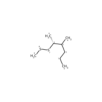 CCCC(C)[C@@H](C)SSC